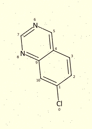 Clc1ccc2cn[c]nc2c1